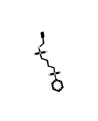 C#CCOS(=O)(=O)CCCCS(=O)(=O)c1ccccc1